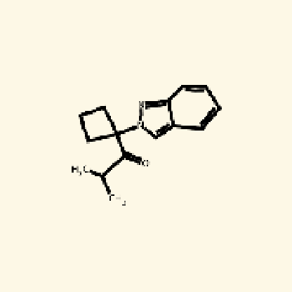 CC(C)C(=O)C1(n2cc3ccccc3n2)CCC1